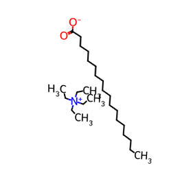 CCCCCCCCCCCCCCCCCC(=O)[O-].CC[N+](CC)(CC)CC